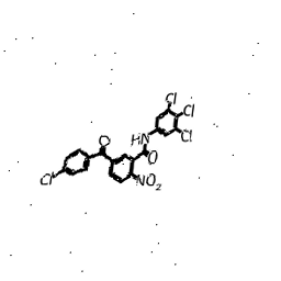 O=C(c1ccc(Cl)cc1)c1ccc([N+](=O)[O-])c(C(=O)Nc2cc(Cl)c(Cl)c(Cl)c2)c1